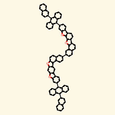 c1ccc2cc(-c3c4ccccc4c(-c4ccc5c(c4)oc4cc6oc7ccc8cc(-c9ccc%10ccc%11c%12ccc%13c%14ccc(-c%15c%16ccccc%16c(-c%16ccc%17ccccc%17c%16)c%16ccccc%15%16)cc%14oc%13c%12oc%11c%10c9)ccc8c7c6cc45)c4ccccc34)ccc2c1